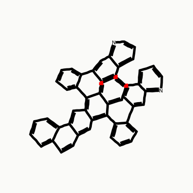 c1ccc(-c2c3ccccc3c(-c3ccccc3-c3ccc4cccnc4c3)c3cc4c(ccc5ccccc54)cc23)c(-c2ccc3cccnc3c2)c1